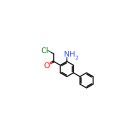 Nc1cc(-c2ccccc2)ccc1C(=O)CCl